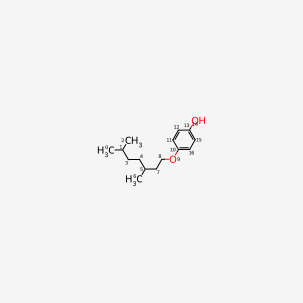 CC(C)CCC(C)CCOc1ccc(O)cc1